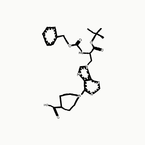 CC(C)(C)OC(=O)C(Cn1cnc2c(N3CCC(C(=O)O)CC3)ncnc21)NC(=O)OCc1ccccc1